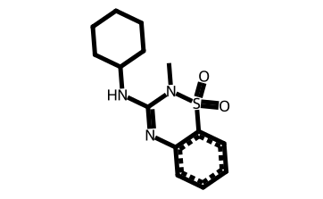 CN1C(NC2CCCCC2)=Nc2ccccc2S1(=O)=O